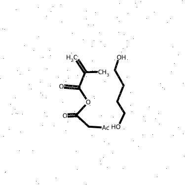 C=C(C)C(=O)OC(=O)CC(C)=O.OCCCCO